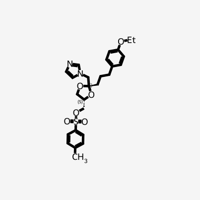 CCOc1ccc(CCC[C@]2(Cn3ccnc3)OC[C@@H](COS(=O)(=O)c3ccc(C)cc3)O2)cc1